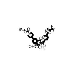 CN(Cc1ccc(-c2nnc(C(F)F)o2)cn1)C(=O)c1cc(C2=CCN(C(=O)OC(C)(C)C)CC2)ccc1C(C)(C)C=O